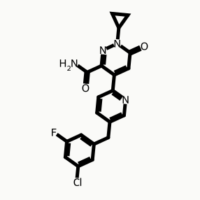 NC(=O)c1nn(C2CC2)c(=O)cc1-c1ccc(Cc2cc(F)cc(Cl)c2)cn1